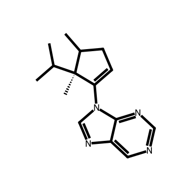 CC(C)[C@]1(C)C(n2cnc3cncnc32)=CCC1C